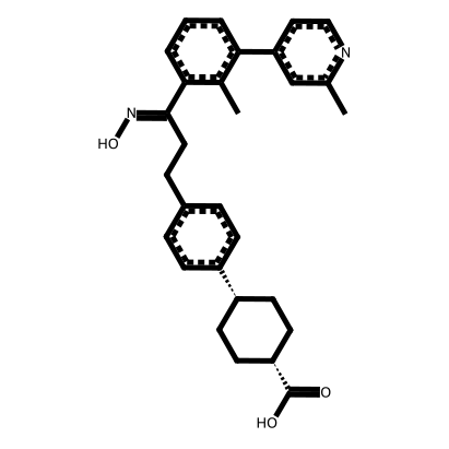 Cc1cc(-c2cccc(/C(CCc3ccc([C@H]4CC[C@@H](C(=O)O)CC4)cc3)=N/O)c2C)ccn1